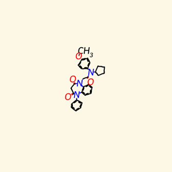 COc1ccc(N(C(=O)CN2C(=O)CC(=O)N(c3ccccc3)c3ccccc32)C2CCCC2)cc1